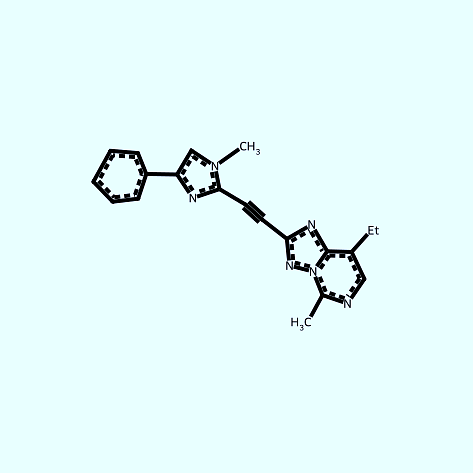 CCc1cnc(C)n2nc(C#Cc3nc(-c4ccccc4)cn3C)nc12